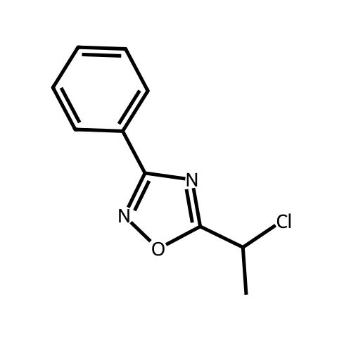 CC(Cl)c1nc(-c2ccccc2)no1